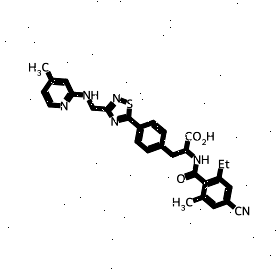 CCc1cc(C#N)cc(C)c1C(=O)NC(Cc1ccc(-c2nc(CNc3cc(C)ccn3)ns2)cc1)C(=O)O